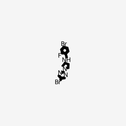 Fc1cc(Br)ccc1CN[C@H]1CCN(c2ncc(Br)cn2)C1